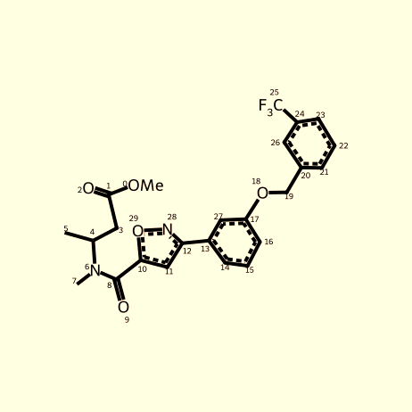 COC(=O)CC(C)N(C)C(=O)c1cc(-c2cccc(OCc3cccc(C(F)(F)F)c3)c2)no1